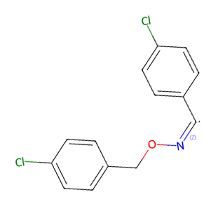 Clc1ccc(/[C]=N\OCc2ccc(Cl)cc2)cc1